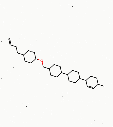 C=CCCC1CCC(OCC2CCC(C3CCC(C4C=CC(C)CC4)CC3)CC2)CC1